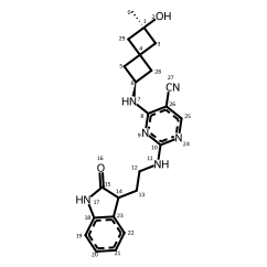 C[C@]1(O)CC2(C[C@H](Nc3nc(NCCC4C(=O)Nc5ccccc54)ncc3C#N)C2)C1